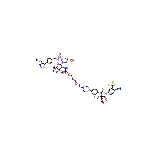 Cc1ncsc1-c1ccc(CNC(=O)[C@@H]2C[C@@H](O)CN2C(=O)C(NC(=O)COCCCOCCN2CCC(c3ccc(N4C(=S)N(c5ccc(C#N)c(C(F)(F)F)c5)C(=O)C4(C)C)cc3)CC2)C(C)(C)C)cc1